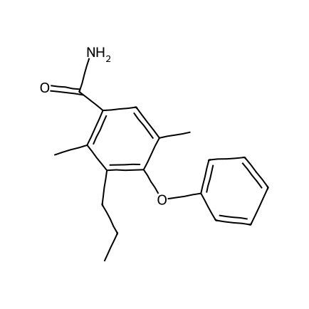 CCCc1c(C)c(C(N)=O)cc(C)c1Oc1ccccc1